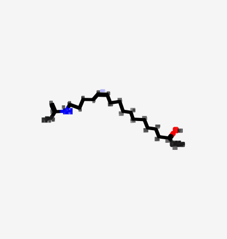 C=C(CCC)NCCCC/C=C\CCCCCCCCCC(=O)OC